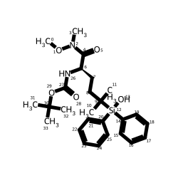 CON(C)C(=O)[C@@H](CCC(C)(C)[Si](O)(c1ccccc1)c1ccccc1)NC(=O)OC(C)(C)C